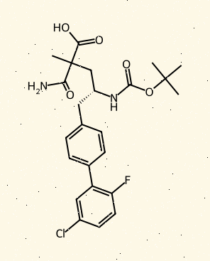 CC(C)(C)OC(=O)N[C@H](Cc1ccc(-c2cc(Cl)ccc2F)cc1)CC(C)(C(N)=O)C(=O)O